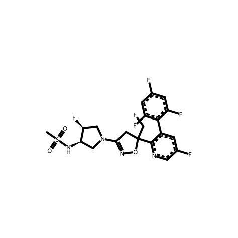 CS(=O)(=O)N[C@@H]1CN(C2=NOC(CF)(c3ncc(F)cc3-c3c(F)cc(F)cc3F)C2)C[C@@H]1F